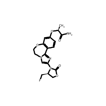 C[C@H](Oc1ccc2c(c1)OCCn1cc(N3C(=O)OC[C@H]3CF)nc1-2)C(N)=O